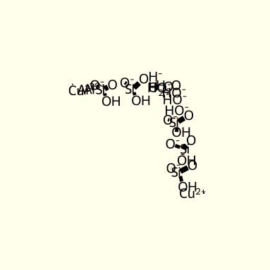 O.O.O=[Si]([O-])O.O=[Si]([O-])O.O=[Si]([O-])O.O=[Si]([O-])O.O=[Si]([O-])O.[Al+3].[Al+3].[Cu+2].[Cu+2].[OH-].[OH-].[OH-].[OH-].[OH-]